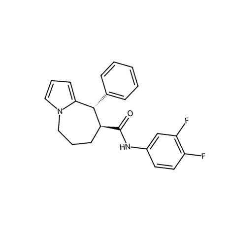 O=C(Nc1ccc(F)c(F)c1)[C@H]1CCCn2cccc2[C@@H]1c1ccccc1